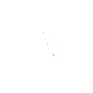 CC(N[S@+]([O-])C(C)(C)C)c1cc(O[C@H]2CCOC2)ccc1F